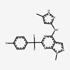 Cc1cc(Nc2nc(C(F)(F)c3ccc(F)cc3)nc3c2cnn3C)n[nH]1